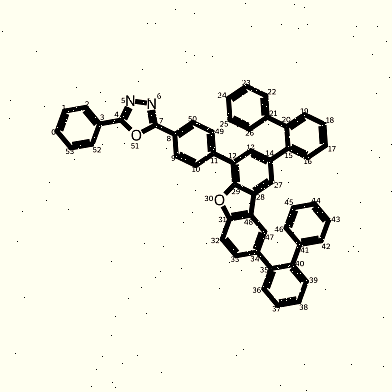 c1ccc(-c2nnc(-c3ccc(-c4cc(-c5ccccc5-c5ccccc5)cc5c4oc4ccc(-c6ccccc6-c6ccccc6)cc45)cc3)o2)cc1